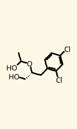 CC(O)O[C@@H](CO)Cc1ccc(Cl)cc1Cl